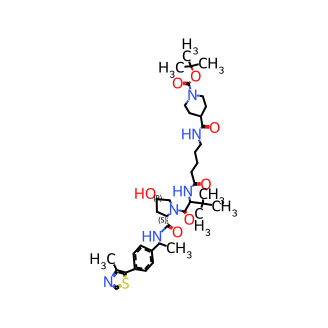 Cc1ncsc1-c1ccc(C(C)NC(=O)[C@@H]2C[C@@H](O)CN2C(=O)C(NC(=O)CCCCNC(=O)C2CCN(C(=O)OC(C)(C)C)CC2)C(C)(C)C)cc1